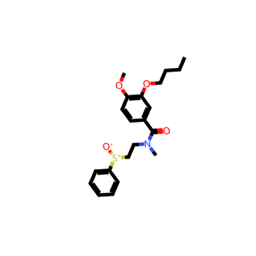 CCCCOc1cc(C(=O)N(C)CC[S+]([O-])c2ccccc2)ccc1OC